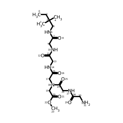 CCC(C)(C)CNC(=O)CNC(=O)CNC(=O)CN(CC(=O)OC)C(=O)CNC(=O)CN